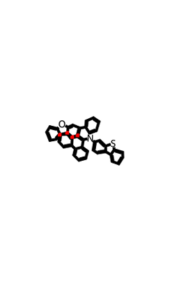 c1ccc(N(c2ccc3c(c2)sc2ccccc23)c2cc3ccccc3c3ccccc23)c(-c2ccc3c(c2)oc2ccccc23)c1